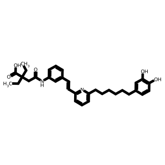 CCC(CC)(CC(=O)Nc1cccc(C=Cc2cccc(CCCCCCc3ccc(O)c(O)c3)n2)c1)C(=O)O